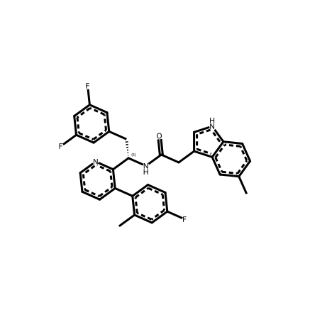 Cc1ccc2[nH]cc(CC(=O)N[C@@H](Cc3cc(F)cc(F)c3)c3ncccc3-c3ccc(F)cc3C)c2c1